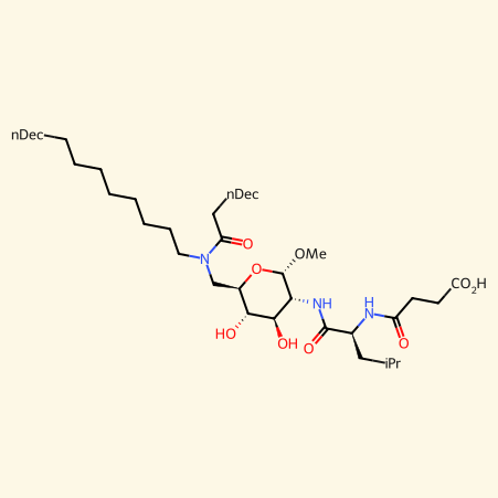 CCCCCCCCCCCCCCCCCCN(C[C@H]1O[C@H](OC)[C@H](NC(=O)[C@H](CC(C)C)NC(=O)CCC(=O)O)[C@@H](O)[C@@H]1O)C(=O)CCCCCCCCCCC